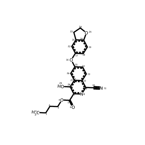 CCCCOC(=O)c1nc(C#N)c2ccc(Oc3ccc4c(c3)CCO4)cc2c1O